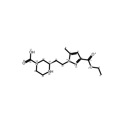 CCOC(=O)c1cc(C)n(CC[C@@H]2CN(C(=O)O)CCN2)n1